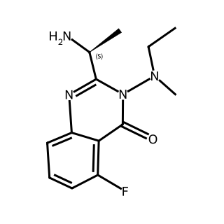 CCN(C)n1c([C@H](C)N)nc2cccc(F)c2c1=O